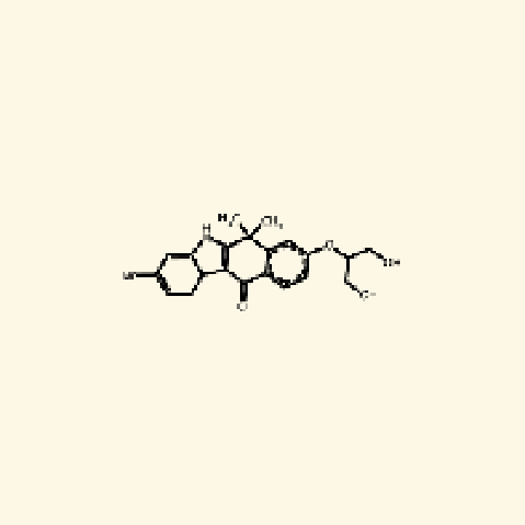 CC1(C)C2=C(C(=O)c3ccc(OC(CO)CO)cc31)C1CC=C(Br)C=C1N2